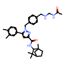 CC(=O)NCNCc1ccc(Cn2nc(C(=O)NC3C4(C)CCC(C4)C3(C)C)cc2-c2ccc(C)c(C)c2)cc1